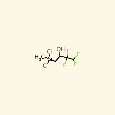 C[Si](Cl)(Cl)CC(O)C(F)(F)C(F)F